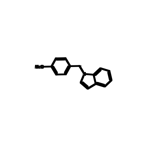 COc1ccc([CH]n2ccc3ccccc32)cc1